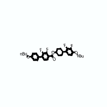 CCCCOc1ccc(-c2ccc(C(=O)OC3CCC(c4ccc(OCCCC)c(F)c4F)CC3)c(F)c2F)cc1